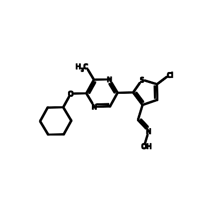 Cc1nc(-c2sc(Cl)cc2/C=N/O)cnc1OC1CCCCC1